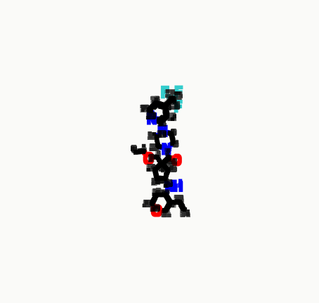 CCOC[C@]1(C(=O)N2CCN(c3cc(C(F)(F)F)ccn3)CC2)CC[C@@H](N[C@@H]2CCOCC2CC)C1